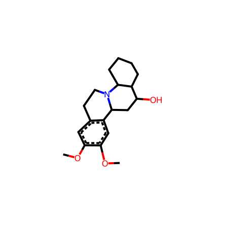 COc1cc2c(cc1OC)C1CC(O)C3CCCCC3N1CC2